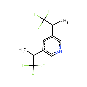 CC(c1cncc(C(C)C(F)(F)F)c1)C(F)(F)F